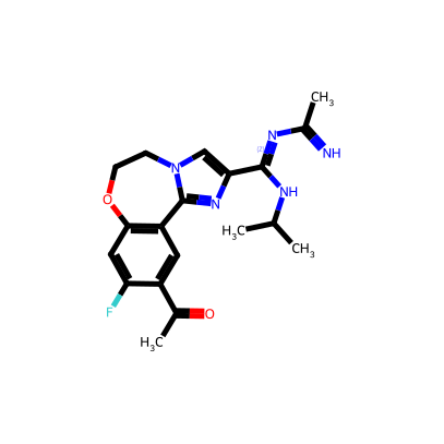 CC(=N)/N=C(\NC(C)C)c1cn2c(n1)-c1cc(C(C)=O)c(F)cc1OCC2